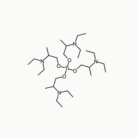 CCN(CC)C(C)C[O][Ti]([O]CC(C)N(CC)CC)([O]CC(C)N(CC)CC)[O]CC(C)N(CC)CC